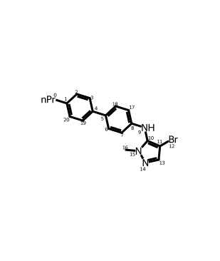 CCCc1ccc(-c2ccc(Nc3c(Br)cnn3C)cc2)cc1